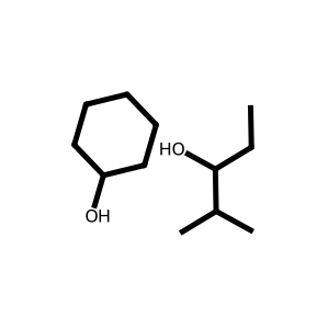 CCC(O)C(C)C.OC1CCCCC1